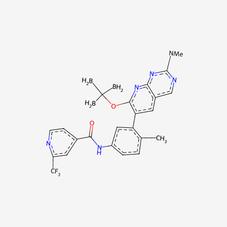 BC(B)(B)Oc1nc2nc(NC)ncc2cc1-c1cc(NC(=O)c2ccnc(C(F)(F)F)c2)ccc1C